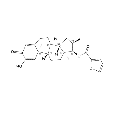 C[C@@H]1C[C@H]2[C@@H]3CCC4=CC(=O)C(O)=C[C@]4(C)[C@H]3CC[C@]2(C)[C@@H]1OC(=O)c1ccco1